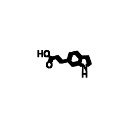 O=C(O)C=Cc1ccc2cc[nH]c2c1